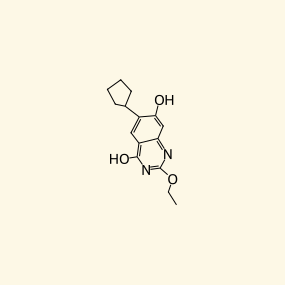 CCOc1nc(O)c2cc(C3CCCC3)c(O)cc2n1